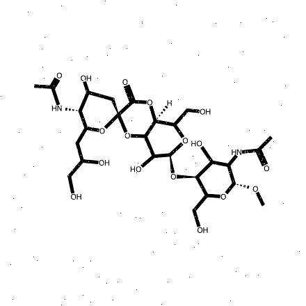 CO[C@@H]1OC(CO)[C@@H](O[C@@H]2OC(CO)[C@@H]3OC(=O)[C@]4(CC(O)[C@@H](NC(C)=O)C(CC(O)CO)O4)OC3C2O)C(O)C1NC(C)=O